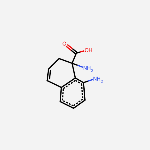 Nc1cccc2c1C(N)(C(=O)O)CC=C2